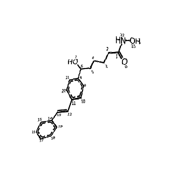 O=C(CCCCC(O)c1ccc(/C=C/c2ccccc2)cc1)NO